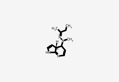 CC/C(C)=N\N(C)C1C=CN=C2NC=C[C@@H]21